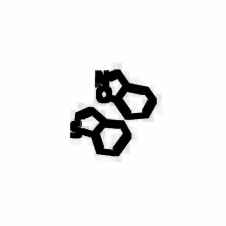 c1ccc2oncc2c1.c1ccc2sccc2c1